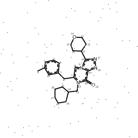 Cc1cccc(Cc2cn3c(C4CCOCC4)nnc3c(=O)n2CC2CCCCC2)c1